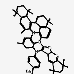 CC1=CC2=C3B(C4=C(C5C=C6C(=NC5O4)C(C)(C)CCC6(C)C)N(c4ccc(C(C)(C)C)cc4)C3C1)c1ccc3c4c1N2C1=C(C2C(C=C1C)C(C)(C)CCC2(C)C)C4(C)CCC3(C)C